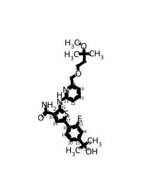 COC(C)(C)CCOCc1cccc(Nc2sc(-c3ccc(C(C)(C)O)cc3F)cc2C(N)=O)n1